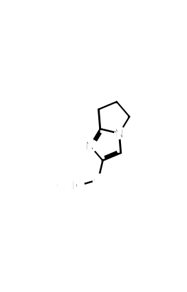 O=COc1cn2c(n1)CCC2